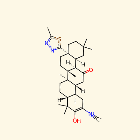 [C-]#[N+]C1=C(O)C(C)(C)[C@@H]2CC[C@]3(C)[C@H](CC(=O)[C@@H]4[C@@H]5CC(C)(C)CC[C@]5(c5nnc(C)s5)CC[C@]43C)[C@@]2(C)C1